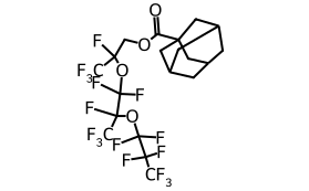 O=C(OCC(F)(OC(F)(F)C(F)(OC(F)(F)C(F)(F)C(F)(F)F)C(F)(F)F)C(F)(F)F)C12CC3CC(CC(C3)C1)C2